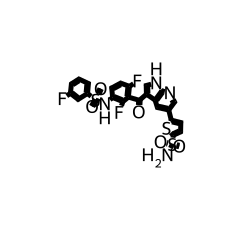 NS(=O)(=O)c1ccc(-c2cnc3[nH]cc(C(=O)c4c(F)ccc(NS(=O)(=O)c5cccc(F)c5)c4F)c3c2)s1